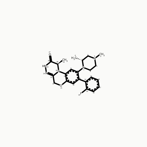 C[C@@H]1CN(C)CCN1c1cc2c(cc1-c1ccccc1F)OCC1=NNC(=O)[C@@H](C)N12